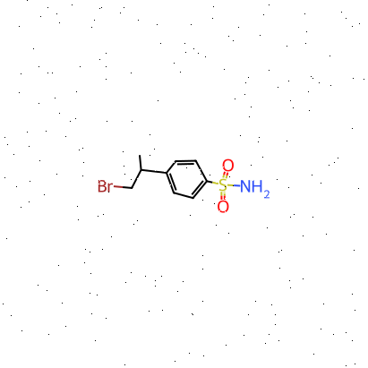 CC(CBr)c1ccc(S(N)(=O)=O)cc1